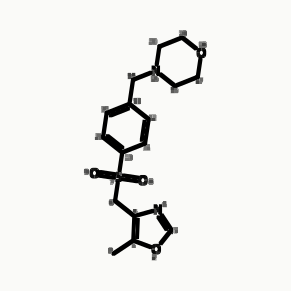 Cc1o[c]nc1CS(=O)(=O)c1ccc(CN2CCOCC2)cc1